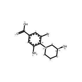 Nc1cc(C(=O)O)cc(Br)c1N1CCC[C@H](O)C1